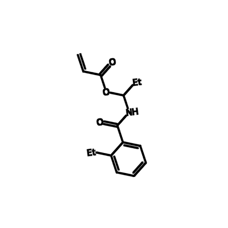 C=CC(=O)OC(CC)NC(=O)c1ccccc1CC